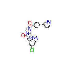 O=C(c1ccc(-c2cccnc2)cc1)N1CCN(C(=O)c2cc3cc(Cl)ccc3[nH]2)CC1